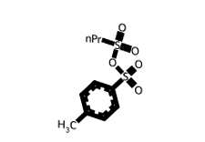 CCCS(=O)(=O)OS(=O)(=O)c1ccc(C)cc1